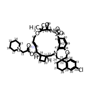 CC1(C)OC/C=C/[C@H](OC(=O)CN2CCCCC2)[C@@H]2CC[C@H]2CN2C[C@@]3(CCCc4cc(Cl)ccc43)COc3ccc(cc32)S(=O)(=O)NC1=O